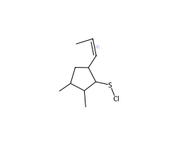 C/C=C\C1CC(C)C(C)C1SCl